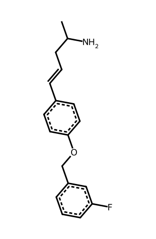 CC(N)CC=Cc1ccc(OCc2cccc(F)c2)cc1